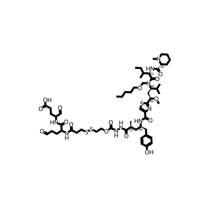 CCCCCOCN(C(=O)[C@@H](NC(=O)[C@H]1CCCCN1C)C(C)CC)[C@H](C[C@@H](OC)c1nc(C(=O)N[C@@H](Cc2ccc(O)cc2)C[C@H](C)C(=O)NNC(=O)OCCSSCCC(=O)NC(CCC=O)C(=O)NC(C=O)CCC(=O)O)cs1)C(C)C